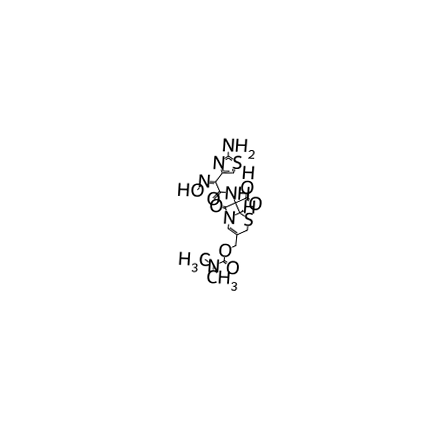 CN(C)C(=O)OCC1=CN2C(=O)C(NC(=O)/C(=N\O)c3csc(N)n3)(C(=O)O)[C@@H]2SC1